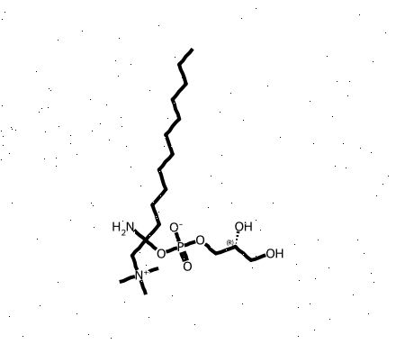 CCCCCCCCCCCC(N)(C[N+](C)(C)C)OP(=O)([O-])OC[C@H](O)CO